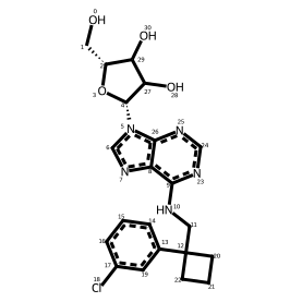 OC[C@H]1O[C@@H](n2cnc3c(NCC4(c5cccc(Cl)c5)CCC4)ncnc32)C(O)C1O